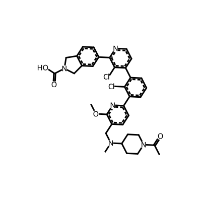 COc1nc(-c2cccc(-c3ccnc(-c4ccc5c(c4)CN(C(=O)O)C5)c3Cl)c2Cl)ccc1CN(C)C1CCN(C(C)=O)CC1